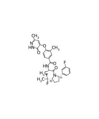 Cc1cc(Oc2ccc(C(=O)NC(C)C(=O)N3[C@H](c4cccc(F)c4)CC[C@@H]3C(C)(F)F)cc2C)c(=O)[nH]n1